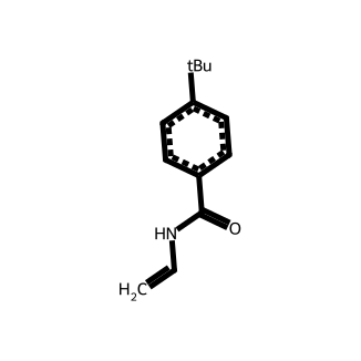 C=CNC(=O)c1ccc(C(C)(C)C)cc1